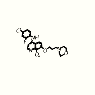 COc1c(OCCCN2CCOCC2)ccc2c(Nc3ccc(Cl)cc3F)ccnc12